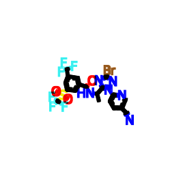 CC(NC(=O)c1cc(C(F)(F)F)cc(S(=O)(=O)C(F)(F)F)c1)c1nc(Br)nn1-c1ccc(C#N)cn1